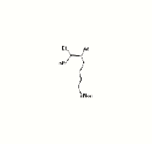 CCCCCCCCCCCCCC(C(C)=O)C(CC)CCC